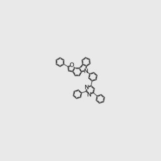 c1ccc(-c2cc(-c3cccc(-n4c5ccccc5c5c6oc(-c7ccccc7)cc6ccc54)c3)nc(-c3ccccc3)n2)cc1